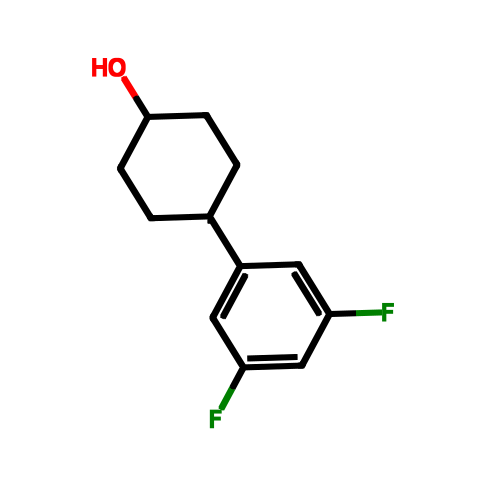 OC1CC[C](c2cc(F)cc(F)c2)CC1